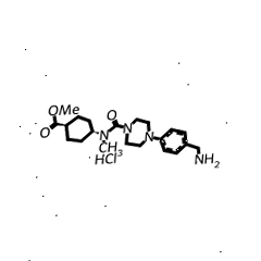 COC(=O)[C@H]1CC[C@H](N(C)C(=O)N2CCN(c3ccc(CN)cc3)CC2)CC1.Cl